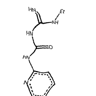 CCNC(=N)NC(=O)Nc1ccccn1